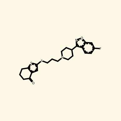 O=C1CCCc2sc(SCCCN3CCC(c4noc5cc(F)ccc45)CC3)cc21